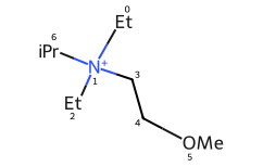 CC[N+](CC)(CCOC)C(C)C